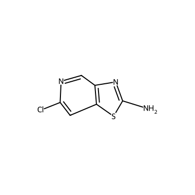 Nc1nc2cnc(Cl)cc2s1